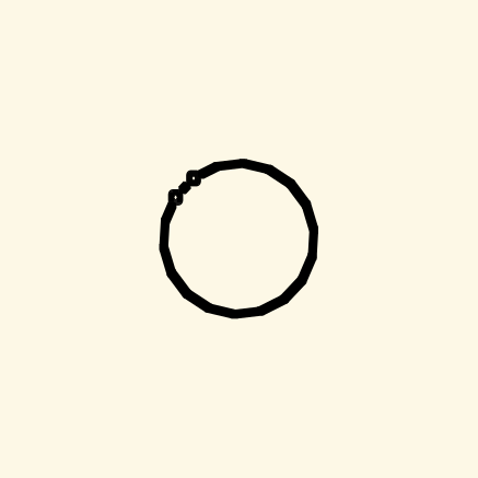 C1CCCCCCCCOOCCCCCCC1